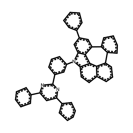 c1ccc(-c2cc3c4c5c6c(cccc6ccc5n(-c5cccc(-c6nc(-c7ccccc7)cc(-c7ccccc7)n6)c5)c4c2)-c2ccccc2-3)cc1